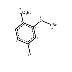 CCCCOc1cc(C)ccc1C(=O)OCC